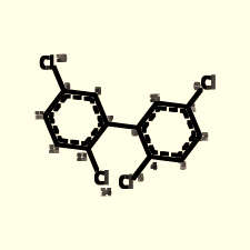 Clc1[c]cc(Cl)c(-c2cc(Cl)ccc2Cl)c1